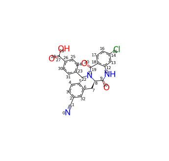 N#Cc1cccc(C[C@@H]2C(=O)Nc3cc(Cl)ccc3C(=O)N2Cc2ccc(C(=O)O)cc2)c1